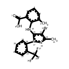 Cc1cccc(C(=O)O)c1Nc1c(Br)c(C)nn1-c1ccccc1C(F)(F)F